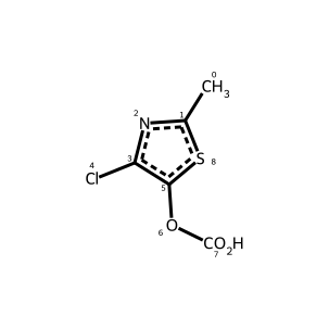 Cc1nc(Cl)c(OC(=O)O)s1